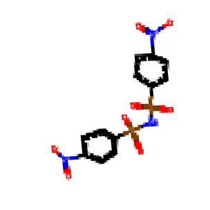 O=[N+]([O-])c1ccc(S(=O)(=O)NS(=O)(=O)c2ccc([N+](=O)[O-])cc2)cc1